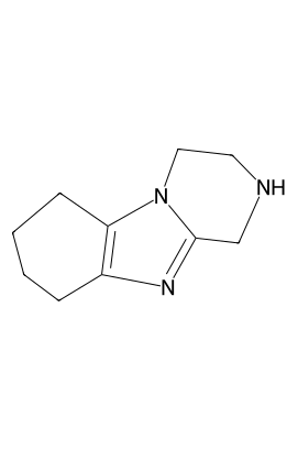 C1CCc2c(nc3n2CCNC3)C1